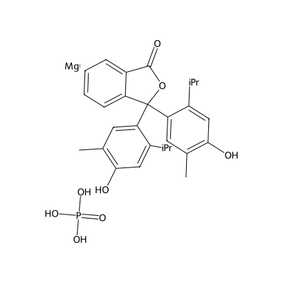 Cc1cc(C2(c3cc(C)c(O)cc3C(C)C)OC(=O)c3ccccc32)c(C(C)C)cc1O.O=P(O)(O)O.[Mg]